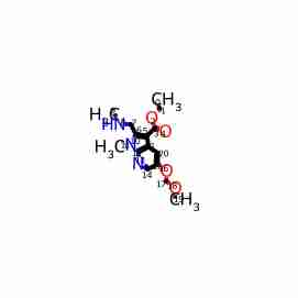 CCOC(=O)c1c(CNC)n(C)c2ncc(OCOC)cc12